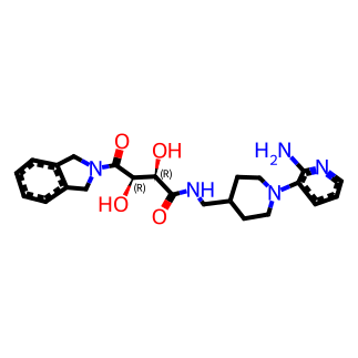 Nc1ncccc1N1CCC(CNC(=O)[C@H](O)[C@@H](O)C(=O)N2Cc3ccccc3C2)CC1